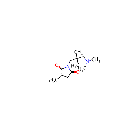 CC1CC(=O)N(CC(C)(C)CN(C)C)C1=O